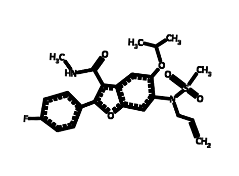 C=CCN(c1cc2oc(-c3ccc(F)cc3)c(C(=O)NC)c2cc1OC(C)C)S(C)(=O)=O